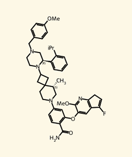 COc1ccc(CN2CCN(C3CC4(CCN(c5ccc(C(N)=O)c(Oc6cc7c(nc6OC)CC=C7F)c5)C[C@H]4C)C3)[C@H](c3ccccc3C(C)C)C2)cc1